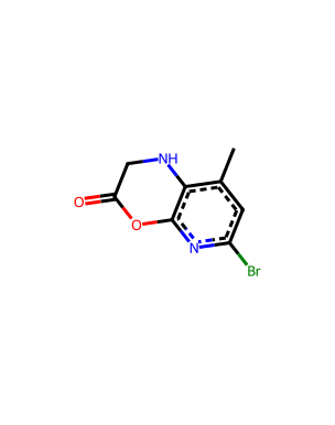 Cc1cc(Br)nc2c1NCC(=O)O2